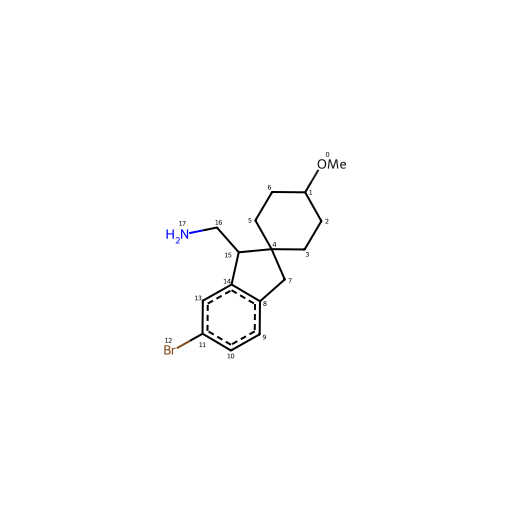 COC1CCC2(CC1)Cc1ccc(Br)cc1C2CN